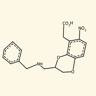 O=C(O)Cc1c([N+](=O)[O-])ccc2c1OC(CNCc1ccccc1)CO2